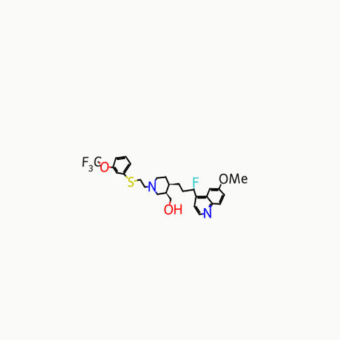 COc1ccc2nccc([C@@H](F)CC[C@@H]3CCN(CCSc4cccc(OC(F)(F)F)c4)C[C@@H]3CO)c2c1